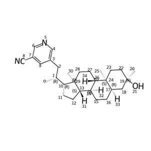 C[C@H](Cc1cncc(C#N)c1)[C@H]1CC[C@H]2[C@@H]3CC[C@@H]4C[C@](C)(O)CC[C@]4(C)[C@H]3CC[C@]12C